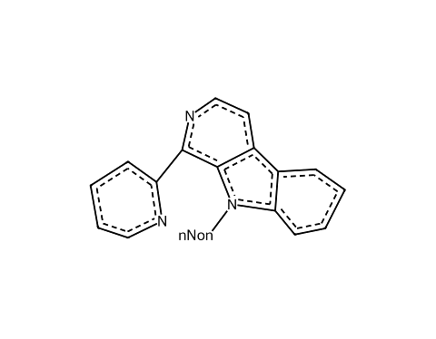 CCCCCCCCCn1c2ccccc2c2ccnc(-c3ccccn3)c21